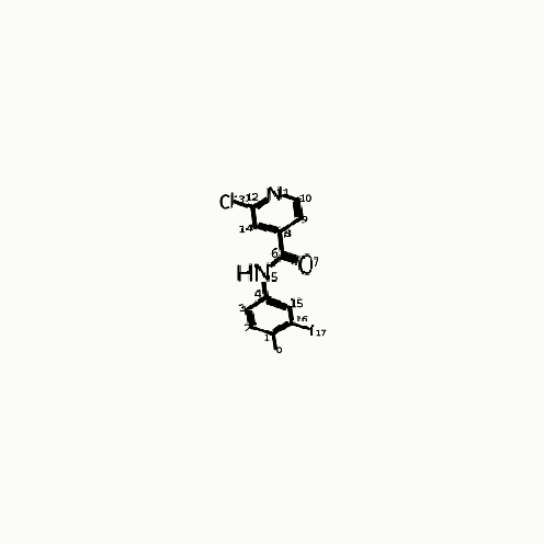 Cc1ccc(NC(=O)c2ccnc(Cl)c2)cc1I